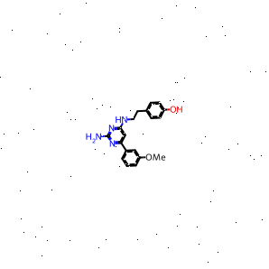 COc1cccc(-c2cc(NCCc3ccc(O)cc3)nc(N)n2)c1